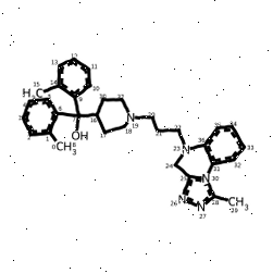 Cc1ccccc1C(O)(c1ccccc1C)C1CCN(CCCN2Cc3nnc(C)n3-c3ccccc32)CC1